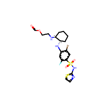 O=COCCN[C@H]1CCCC[C@@H]1Nc1cc(F)c(S(=O)(=O)Nc2nccs2)cc1Br